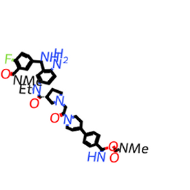 CCN(C(=O)[C@@H]1CCN(CC(=O)N2CC=C(c3ccc(C(=N)OC(=O)NC)cc3)CC2)C1)c1ccc(N)c(C(=N)c2ccc(F)c(C(=O)NC)c2)c1